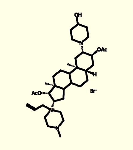 C=CC[N+]1([C@H]2CC3C4CC[C@H]5C[C@H](OC(C)=O)[C@@H](N6CCC(O)CC6)C[C@]5(C)C4CC[C@]3(C)[C@H]2OC(C)=O)CCN(C)CC1.[Br-]